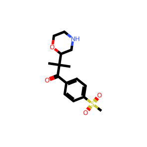 CC(C)(C(=O)c1ccc(S(C)(=O)=O)cc1)C1CNCCO1